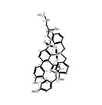 COc1ccc(CN(Cc2ccc(OC)cc2)S(=O)(=O)c2c(S(=O)(=O)NCC(O)CNC(=O)O)ccc(-c3ccc(N)c(N)c3)c2-c2nnn(Cc3ccc(OC)cc3)n2)cc1